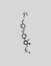 CCCCCC1CCC(COC2CCC(c3ccc(OCC)c(F)c3F)CC2)CO1